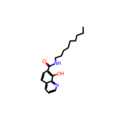 CCCCCCCCCNC(=O)c1ccc2cccnc2c1O